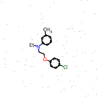 CCN(CCOc1ccc(Cl)cc1)c1cccc(C)c1